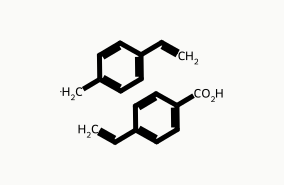 C=Cc1ccc(C(=O)O)cc1.[CH2]c1ccc(C=C)cc1